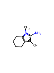 Cn1c(N)c(C#N)c2c1CCCC2